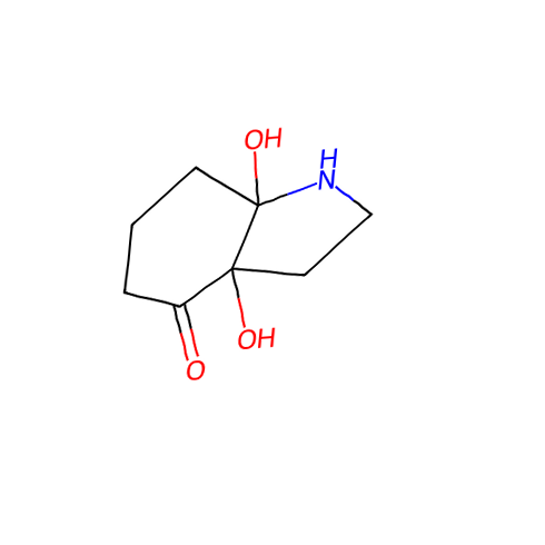 O=C1CCCC2(O)NCCC12O